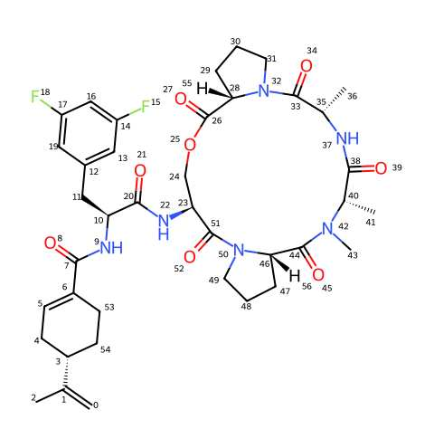 C=C(C)[C@@H]1CC=C(C(=O)N[C@@H](Cc2cc(F)cc(F)c2)C(=O)N[C@H]2COC(=O)[C@@H]3CCCN3C(=O)[C@H](C)NC(=O)[C@H](C)N(C)C(=O)[C@@H]3CCCN3C2=O)CC1